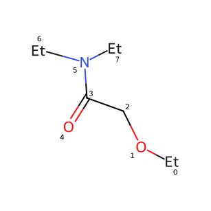 [CH2]COCC(=O)N(CC)CC